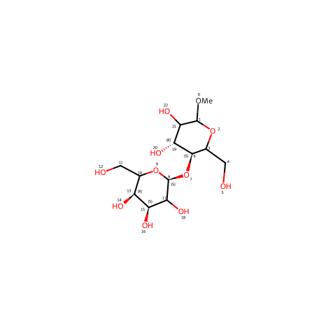 COC1OC(CO)[C@@H](O[C@@H]2OC(CO)[C@H](O)[C@H](O)C2O)[C@H](O)C1O